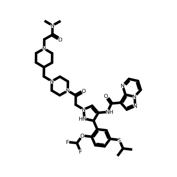 CC(C)Sc1ccc(OC(F)F)c(C2NN(CC(=O)N3CCN(CC4CCN(CC(=O)N(C)C)CC4)CC3)C=C2NC(=O)c2cnn3cccnc23)c1